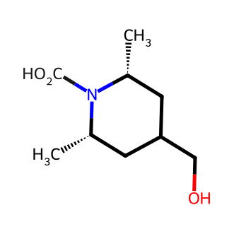 C[C@@H]1CC(CO)C[C@H](C)N1C(=O)O